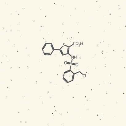 O=C(O)c1sc(-c2ccccc2)cc1NS(=O)(=O)c1ccccc1CCl